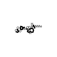 C=C(N[C@H]1CCCC[C@H]2CC[C@@H](C(=O)NCc3cccc(OC4CCOC4=O)c3)N2C1=O)[C@H](C)NC